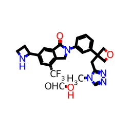 Cn1cnnc1CC1(c2cccc(N3Cc4c(cc(C5CCN5)cc4C(F)(F)F)C3=O)c2)COC1.O=CO